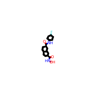 O=C(NO)c1ccc2ccc(C(=O)Nc3ccc(F)cc3)cc2c1